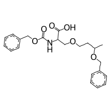 CC(CCOCC(NC(=O)OCc1ccccc1)C(=O)O)OCc1ccccc1